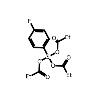 CCC(=O)O[Si](OC(=O)CC)(OC(=O)CC)c1ccc(F)cc1